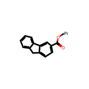 CC(C)OC(=O)c1ccc2c(c1)-c1ccccc1C2